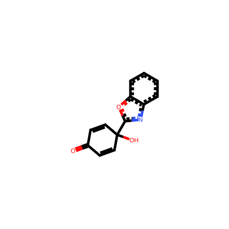 O=C1C=CC(O)(c2nc3ccccc3o2)C=C1